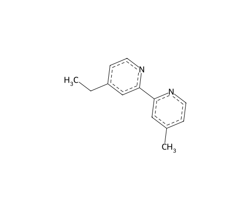 CCc1ccnc(-c2cc(C)ccn2)c1